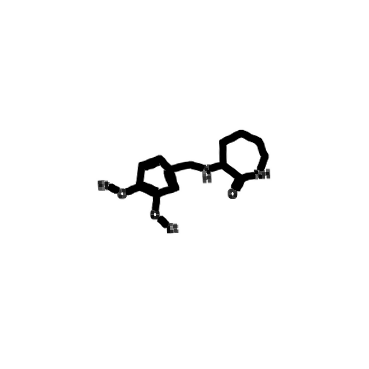 CCOc1ccc(CNC2CCCCNC2=O)cc1OCC